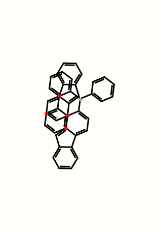 C1=CC2(C3=Cc4ccccc4C3=C1)C1=Cc3ccccc3C1=CC=C2N(c1ccccc1)c1ccccc1-c1ccccc1